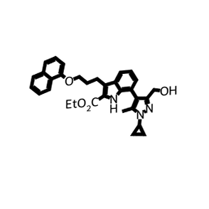 CCOC(=O)c1[nH]c2c(-c3c(CO)nn(C4CC4)c3C)cccc2c1CCCOc1cccc2ccccc12